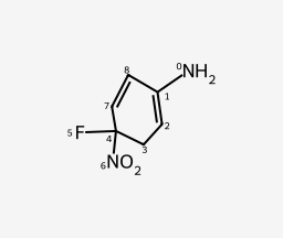 NC1=CCC(F)([N+](=O)[O-])C=C1